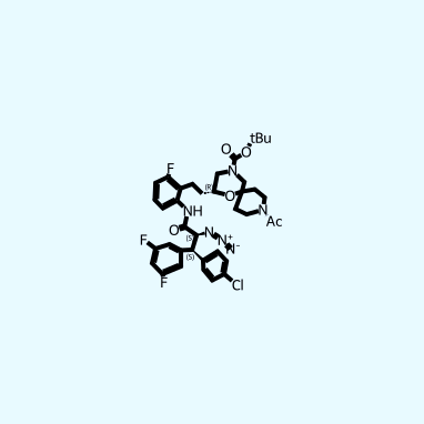 CC(=O)N1CCC2(CC1)CN(C(=O)OC(C)(C)C)C[C@@H](CCc1c(F)cccc1NC(=O)[C@@H](N=[N+]=[N-])[C@@H](c1ccc(Cl)cc1)c1cc(F)cc(F)c1)O2